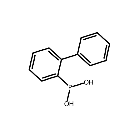 OP(O)c1ccccc1-c1ccccc1